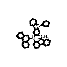 CC1(C)c2ccccc2-c2cccc(N(c3ccc4c(c3)c3ccccc3n4-c3ccccc3)c3cc4ccccc4c4ccccc34)c21